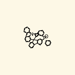 O=P(c1ccccc1)(c1ccccc1)c1ccc2c(c1)C1(c3ccccc3-2)c2ccccc2-n2c3ccccc3c3cccc1c32